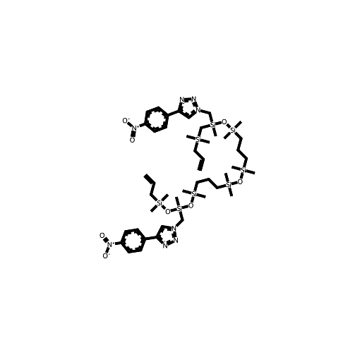 C=CC[Si](C)(C)C[Si](C)(Cn1cc(-c2ccc([N+](=O)[O-])cc2)nn1)O[Si](C)(C)CCC[Si](C)(C)O[Si](C)(C)CCC[Si](C)(C)O[Si](C)(Cn1cc(-c2ccc([N+](=O)[O-])cc2)nn1)O[Si](C)(C)CC=C